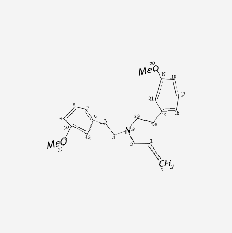 C=CCN(CCc1cccc(OC)c1)CCc1cccc(OC)c1